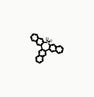 CCP1(=O)c2cc3ccccc3cc2-c2cc3ccccc3cc2-c2cc3ccccc3cc21